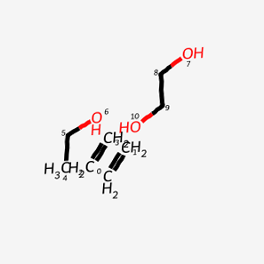 C=C.C=C.CCO.OCCO